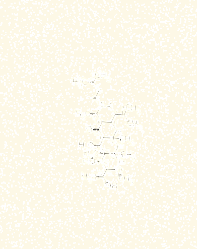 CC(C)CCC1CC(C(C)C)C2CC3(C)CC4(C)CC(C)C(C(C)O)C(O)C4(C)C(C)C3C(=O)C2C1C